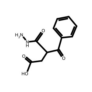 NNC(=O)C(CC(=O)O)C(=O)c1ccccc1